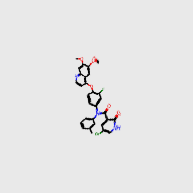 COc1cc2nccc(Oc3ccc(N(C(=O)c4cc(Br)c[nH]c4=O)c4cccc(C)c4)cc3F)c2cc1OC